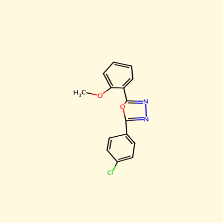 COc1ccccc1-c1nnc(-c2ccc(Cl)cc2)o1